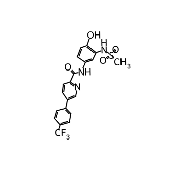 CS(=O)(=O)Nc1cc(NC(=O)c2ccc(-c3ccc(C(F)(F)F)cc3)cn2)ccc1O